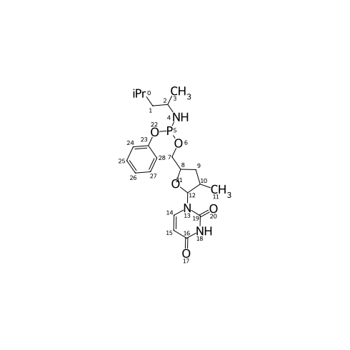 CC(C)CC(C)NP(OCC1CC(C)C(n2ccc(=O)[nH]c2=O)O1)Oc1ccccc1